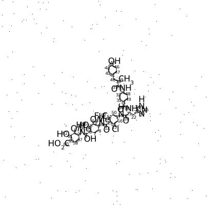 COc1c(NC(O)c2ccc(NC(=O)c3c(Cl)cc(NC(=O)[C@H](Cc4c[nH]nn4)NC(=O)c4ccc(NC(=O)/C(C)=C/c5ccc(O)cc5)cc4)cc3C(F)(F)F)c(OC)c2O)ccc(C(=O)O)c1O